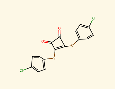 O=c1c(Sc2ccc(Cl)cc2)c(Sc2ccc(Cl)cc2)c1=O